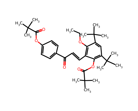 CCOc1c(C(C)(C)C)cc(C(C)(C)C)c(OC(=O)C(C)(C)C)c1/C=C/C(=O)c1ccc(OC(=O)C(C)(C)C)cc1